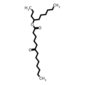 CCCCCCCC(=O)CCCCC(=O)OC(CCC)CCCCCC